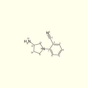 N#Cc1ccccc1N1CCC(N)C1